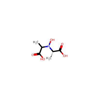 CC(C(=O)O)N(O)[C@@H](C)C(=O)O